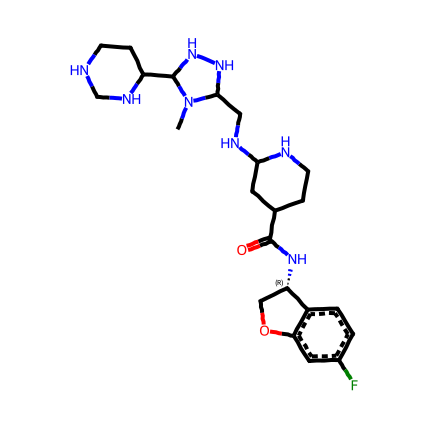 CN1C(CNC2CC(C(=O)N[C@H]3COc4cc(F)ccc43)CCN2)NNC1C1CCNCN1